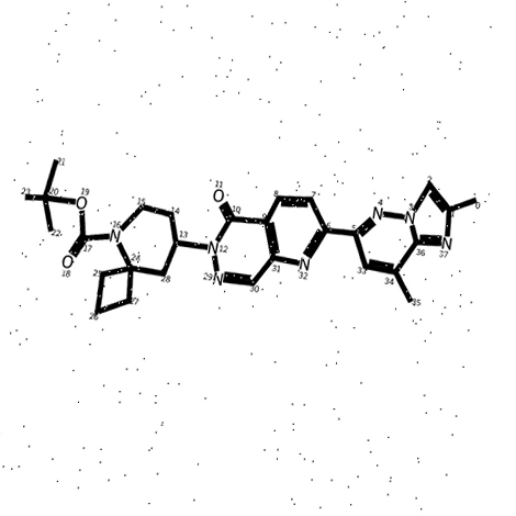 Cc1cn2nc(-c3ccc4c(=O)n(C5CCN(C(=O)OC(C)(C)C)C6(CCC6)C5)ncc4n3)cc(C)c2n1